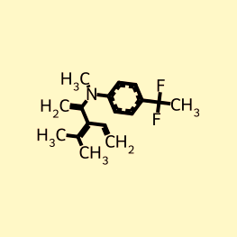 C=CC(C(=C)N(C)c1ccc(C(C)(F)F)cc1)=C(C)C